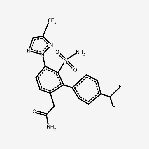 NC(=O)Cc1ccc(-n2ncc(C(F)(F)F)n2)c(S(N)(=O)=O)c1-c1ccc(C(F)F)cc1